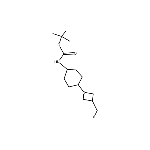 CC(C)(C)OC(=O)NC1CCC(N2CC(CF)C2)CC1